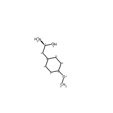 COC1CCC(C[C@@H](N)O)CC1